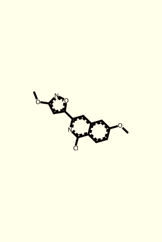 COc1ccc2c(Cl)nc(-c3cc(OC)no3)cc2c1